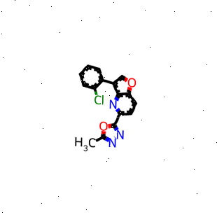 Cc1nnc(-c2ccc3occ(-c4ccccc4Cl)c3n2)o1